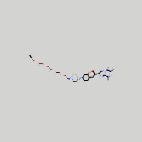 C#CCOCCOCCOCCOCCN1CCN(c2ccc3cc(-c4cn5cc(C)nc(C)c5n4)c(=O)oc3c2)C[C@@H]1C